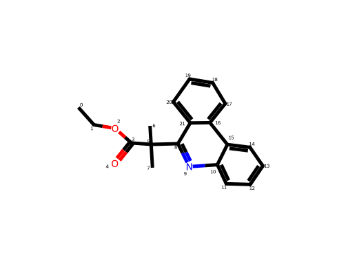 CCOC(=O)C(C)(C)c1nc2ccccc2c2ccccc12